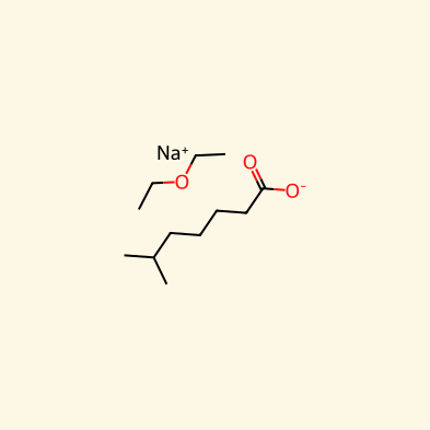 CC(C)CCCCC(=O)[O-].CCOCC.[Na+]